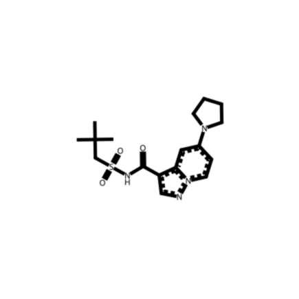 CC(C)(C)CS(=O)(=O)NC(=O)c1cnn2ccc(N3CCCC3)cc12